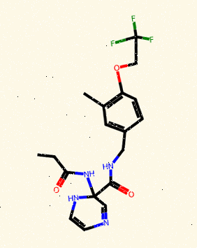 CCC(=O)NC1(C(=O)NCc2ccc(OCC(F)(F)F)c(C)c2)C=NC=CN1